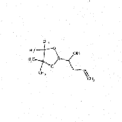 C=CCC(O)B1OC(C)(C)C(C)(C)O1